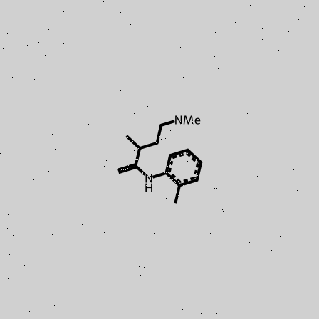 C=C(Nc1ccccc1C)C(C)CCNC